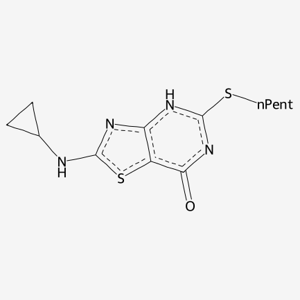 CCCCCSc1nc(=O)c2sc(NC3CC3)nc2[nH]1